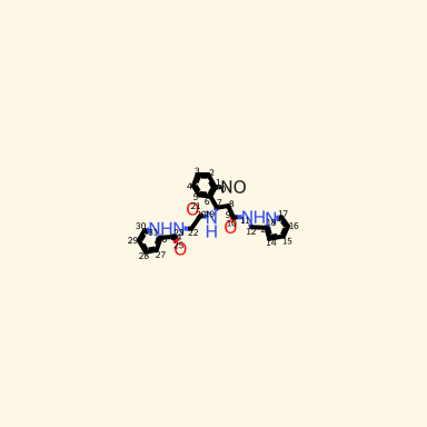 O=Nc1ccccc1C(CC(=O)NCc1ccccn1)NC(=O)CNC(=O)c1ccccn1